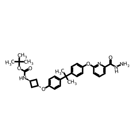 CC(C)(C)OC(=O)N[C@H]1C[C@H](Oc2ccc(C(C)(C)c3ccc(Oc4cccc(C(=O)NN)n4)cc3)cc2)C1